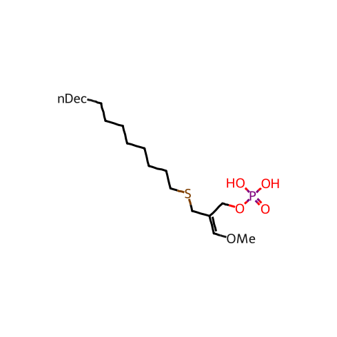 CCCCCCCCCCCCCCCCCCSCC(=COC)COP(=O)(O)O